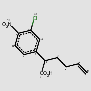 C=CCCC(C(=O)O)c1ccc([N+](=O)[O-])c(Cl)c1